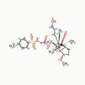 CO[C@@H]1CC[C@]23CC[C@@H](C)[C@](C)(C12)[C@H](OC(=O)COS(=O)(=O)c1ccc(C)cc1)C[C@](C)(C/C=N/O)C(=O)[C@@H]3C